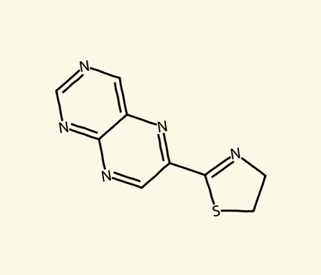 c1ncc2nc(C3=NCCS3)cnc2n1